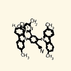 Cc1ccc2c3ccc(C)cc3n(-c3cc(-c4nc(C)cc(C)n4)c(-n4c5cc(C)ccc5c5ccc(C)cc54)cc3C#N)c2c1